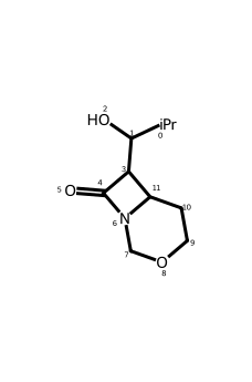 CC(C)C(O)C1C(=O)N2COCCC12